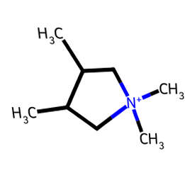 CC1C[N+](C)(C)CC1C